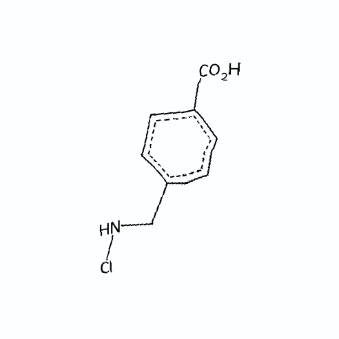 O=C(O)c1ccc(CNCl)cc1